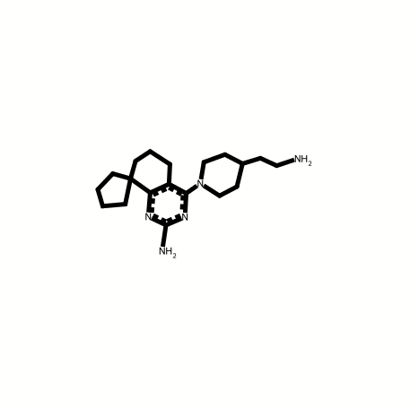 NCCC1CCN(c2nc(N)nc3c2CCCC32CCCC2)CC1